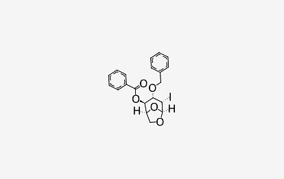 O=C(O[C@H]1[C@H](OCc2ccccc2)[C@H](I)[C@H]2OC[C@@H]1O2)c1ccccc1